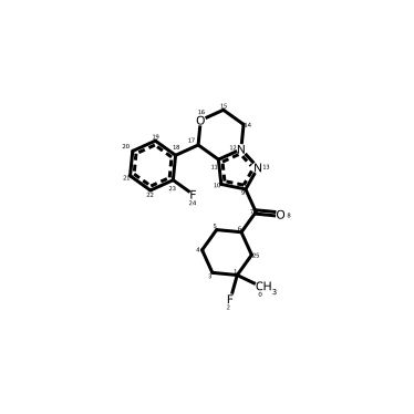 CC1(F)CCCC(C(=O)c2cc3n(n2)CCOC3c2ccccc2F)C1